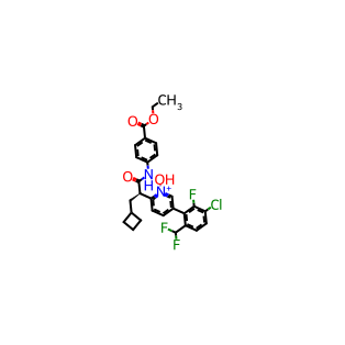 CCOC(=O)c1ccc(NC(=O)[C@H](CC2CCC2)c2ccc(-c3c(C(F)F)ccc(Cl)c3F)c[n+]2O)cc1